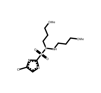 COCCCNN(CCCOC)S(=O)(=O)c1nc(Cl)cs1